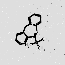 CC(C)(C)C1=Nc2ccccc2Cc2ccccc21